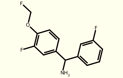 NC(c1cccc(F)c1)c1ccc(OCF)c(F)c1